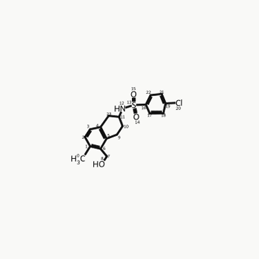 Cc1ccc2c(c1CO)CCC(NS(=O)(=O)c1ccc(Cl)cc1)C2